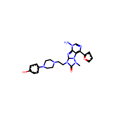 CN1C(=O)N(CCN2CCN(c3ccc(O)cc3)CC2)C2N=C3C(=C(c4ccco4)N=CN3N)N21